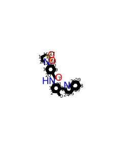 Cc1ccc(NC(=O)c2ccc(N3CCCS3(=O)=O)cc2)cc1-c1ccc2ccccc2n1